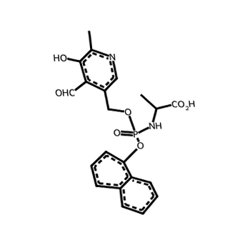 Cc1ncc(COP(=O)(NC(C)C(=O)O)Oc2cccc3ccccc23)c(C=O)c1O